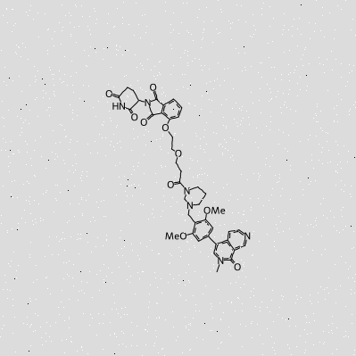 COc1cc(-c2cn(C)c(=O)c3cnccc23)cc(OC)c1CN1CCCN(C(=O)CCOCCOc2cccc3c2C(=O)N(C2CCC(=O)NC2=O)C3=O)C1